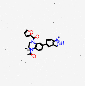 CC(=O)N1c2ccc(-c3ccc4c(c3)CNN4C)cc2N(C(=O)c2ccco2)C[C@@H]1C